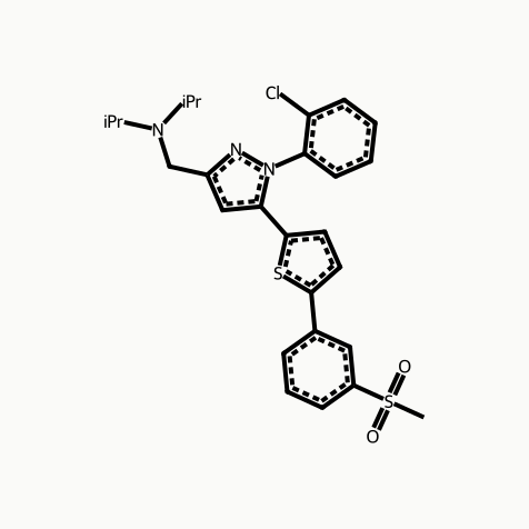 CC(C)N(Cc1cc(-c2ccc(-c3cccc(S(C)(=O)=O)c3)s2)n(-c2ccccc2Cl)n1)C(C)C